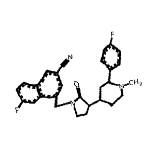 CN1CCC(C2CCN(Cc3cc(C#N)cc4ccc(F)cc34)C2=O)CC1c1ccc(F)cc1